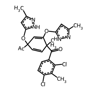 CC(=O)C1(Oc2cc(C)n[nH]2)C=CC(C)(C(=O)c2ccc(Cl)c(C)c2Cl)C(Oc2cc(C)n[nH]2)=C1